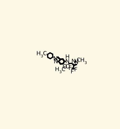 COc1cc2nn([C@H]3CC[C@H](C)CC3)cc2cc1NC(=O)c1nn(C)cc1C(F)(F)F